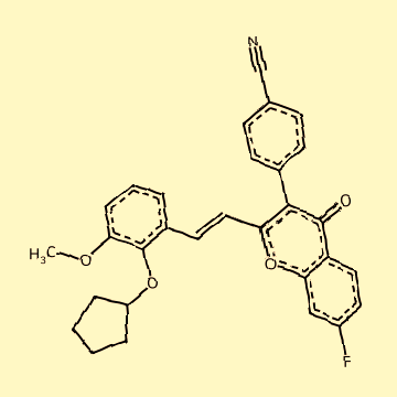 COc1cccc(/C=C/c2oc3cc(F)ccc3c(=O)c2-c2ccc(C#N)cc2)c1OC1CCCC1